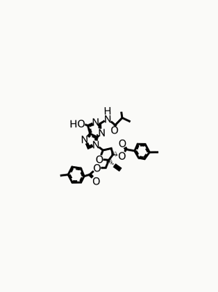 C#C[C@]1(COC(=O)c2ccc(C)cc2)OC(n2cnc3c(O)nc(NC(=O)C(C)C)nc32)C[C@@H]1OC(=O)c1ccc(C)cc1